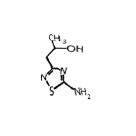 CC(O)Cc1nsc(N)n1